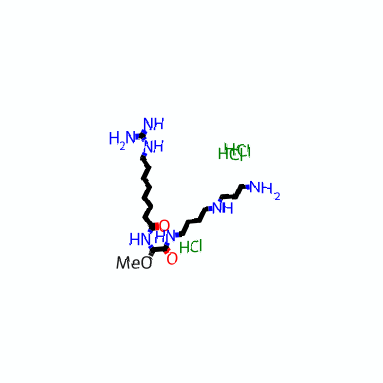 COC(NC(=O)CCCCCCCNC(=N)N)C(=O)NCCCCNCCCN.Cl.Cl.Cl